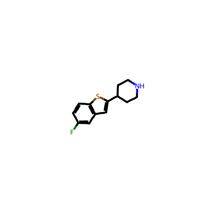 Fc1ccc2sc(C3CCNCC3)cc2c1